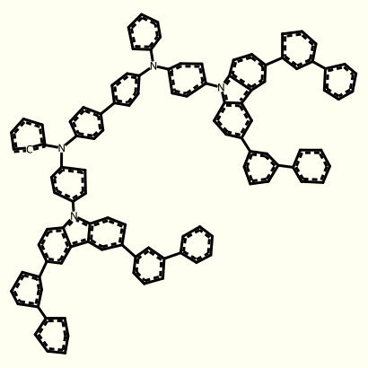 c1ccc(-c2cccc(-c3ccc4c(c3)c3cc(-c5cccc(-c6ccccc6)c5)ccc3n4-c3ccc(N(c4ccccc4)c4ccc(-c5ccc(N(c6ccccc6)c6ccc(-n7c8ccc(-c9cccc(-c%10ccccc%10)c9)cc8c8cc(-c9cccc(-c%10ccccc%10)c9)ccc87)cc6)cc5)cc4)cc3)c2)cc1